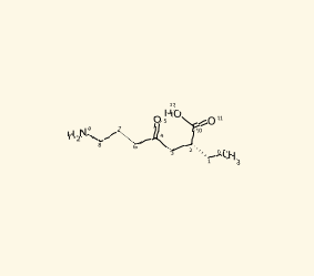 CC[C@H](CC(=O)CCCN)C(=O)O